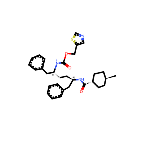 C[C@H]1CC[C@H](C(=O)N[C@H](CC[C@H](Cc2ccccc2)NC(=O)OCc2cncs2)Cc2ccccc2)CC1